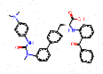 CN(C)c1ccc(NC(=O)N(C)c2cccc(-c3ccc(C[C@H](Nc4ccccc4C(=O)c4ccccc4)C(=O)O)cc3)c2)cc1